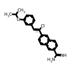 CC(C)Oc1cccc(/C=C(\Cl)c2ccc3cc(C(=N)N)ccc3c2)c1